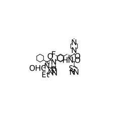 CCn1nccc1N(C=O)[C@H](C(=O)Nc1ccc(C[C@@H](NC(=O)c2cnns2)C(=O)N2CCN(C)CC2)cc1F)C1CCCCC1